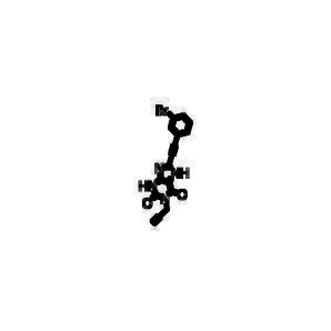 C#CCn1c(=O)[nH]c2nc(C#Cc3cccc(Br)c3)[nH]c2c1=O